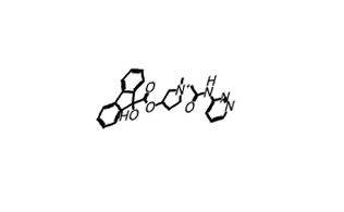 C[N+]1(CC(=O)Nc2cccnn2)CCC(OC(=O)C2(O)c3ccccc3-c3ccccc32)C1